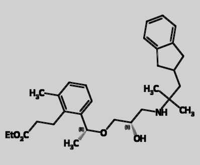 CCOC(=O)CCc1c(C)cccc1[C@@H](C)OC[C@@H](O)CNC(C)(C)CC1Cc2ccccc2C1